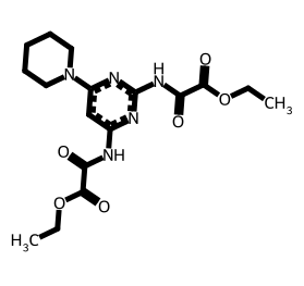 CCOC(=O)C(=O)Nc1cc(N2CCCCC2)nc(NC(=O)C(=O)OCC)n1